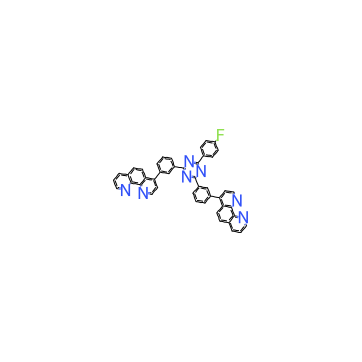 Fc1ccc(-c2nc(-c3cccc(-c4ccnc5c4ccc4cccnc45)c3)nc(-c3cccc(-c4ccnc5c4ccc4cccnc45)c3)n2)cc1